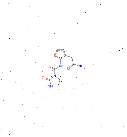 NC(=O)Cc1ccsc1NC(=O)N1CCNC1=O